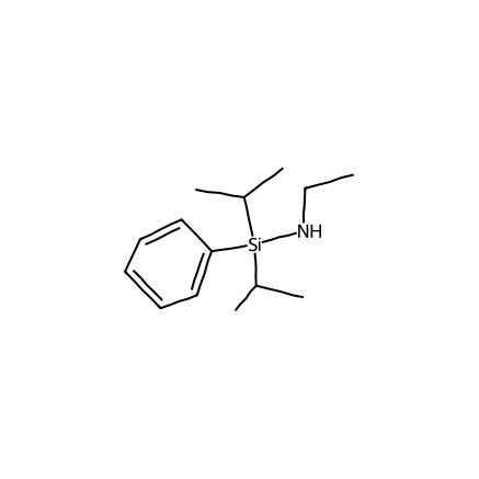 CCN[Si](c1ccccc1)(C(C)C)C(C)C